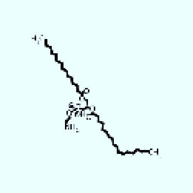 CCCCCC/C=C\CCCCCCCCCC(=O)O[C@H](COC(=O)CCCCCCCCCCCCCCC)COP(=O)(O)OCCN